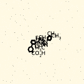 Cc1ccc(-n2nc(C)c(NC(c3cccc(C4CCCC(C(=O)O)C4)c3O)C(C)(F)F)c2O)cc1C